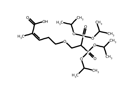 CC(=CCCOCC(P(=O)(OC(C)C)OC(C)C)P(=O)(OC(C)C)OC(C)C)C(=O)O